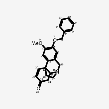 COc1cc2c(cc1OCc1ccccc1)CN1CCC23C=CC(=O)CC13